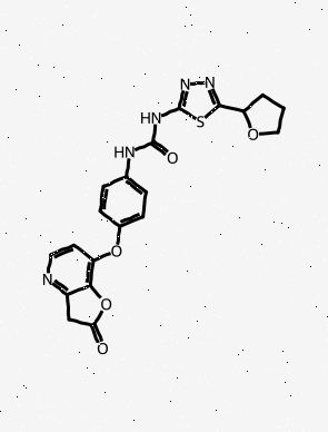 O=C(Nc1ccc(Oc2ccnc3c2OC(=O)C3)cc1)Nc1nnc(C2CCCO2)s1